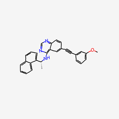 COc1cccc(C#Cc2ccc3ncnc(N[C@H](C)c4cccc5ccccc45)c3c2)c1